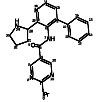 CC(C)c1ncc(C(=O)Nc2c(-c3ccccc3)ccnc2C2CCCN2)cn1